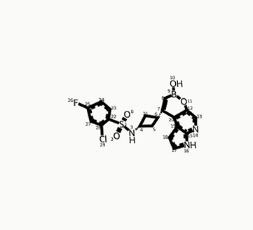 O=S(=O)(N[C@H]1C[C@@H](C2=CB(O)Oc3cnc4[nH]ccc4c32)C1)c1ccc(F)cc1Cl